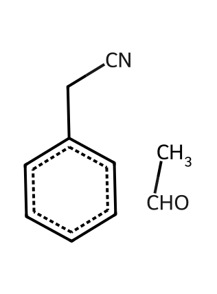 CC=O.N#CCc1ccccc1